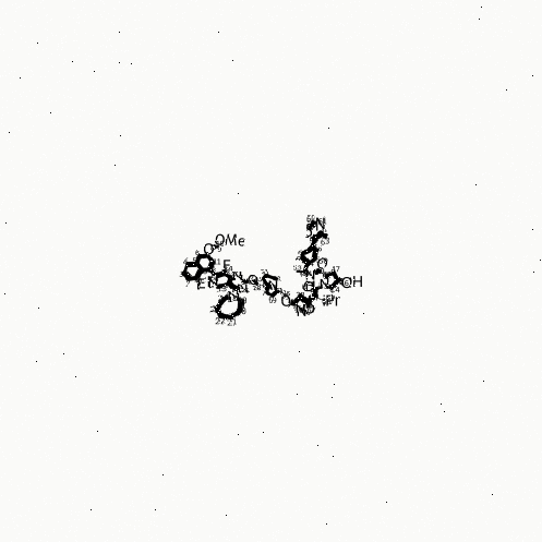 CCc1cccc2cc(OCOC)cc(-c3ncc4c(N5CCCCCC5)nc(OC[C@]56CCCN5[C@H](COc5cc([C@H](C(=O)N7C[C@H](O)C[C@H]7C(=O)N[C@@H](C)c7ccc(-c8scnc8C)cc7)C(C)C)on5)CC6)nc4c3F)c12